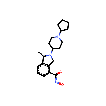 CC1c2cccc(C(=O)N=O)c2CN1C1CCN(C2CCCC2)CC1